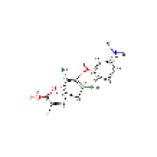 CC(=Cc1cc(F)c(Oc2cccc(N(C)C)c2)c(F)c1)C(=O)O